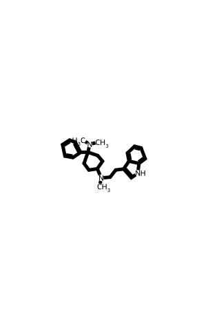 CN(CCc1c[nH]c2ccccc12)C1CCC(c2ccccc2)(N(C)C)CC1